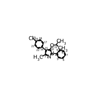 Cc1nn(-c2ccccc2)c(OC(C)C)c1-c1ccc(Cl)cc1